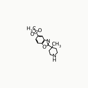 CC1(c2nc3cc(S(C)(=O)=O)ccc3o2)CCNCC1